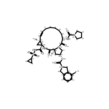 O=C1N[C@]2(C(=O)NS(=O)(=O)C3CC3)C[C@H]2/C=C\CCCCC[C@H](NC(=O)N2CCCC2)C(=O)N2C[C@H](OC(=O)N3Cc4cccc(F)c4C3)C[C@@H]12